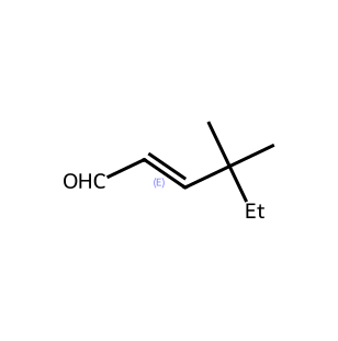 CCC(C)(C)/C=C/C=O